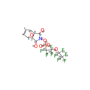 O=C1C2C3C=CC(O3)C2C(=O)N1OS(=O)(=O)C(F)(F)C(F)(F)OC(F)(F)C(F)(F)F